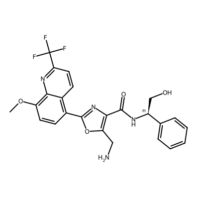 COc1ccc(-c2nc(C(=O)N[C@@H](CO)c3ccccc3)c(CN)o2)c2ccc(C(F)(F)F)nc12